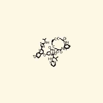 COc1ccc2c(O[C@H]3C[C@@H](C(=O)N[C@@H]4CCC#CCCCC(=O)Nc5ccccc5NC(=O)C4=O)N(C(=O)C(Nc4ncccn4)C(C)C)C3)cc(-c3csc(NC(C)C)n3)nc2c1